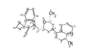 C[C@@H]1CN(c2ccc(C#N)c3ncccc23)C[C@H](CNC(=O)C2(c3ccccc3)CCC2)O1